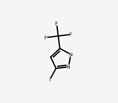 FC(F)(F)C1=CC(I)=N[N]1